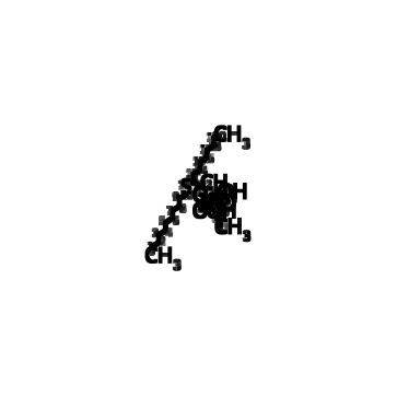 CCCCCCCCCCCSC(CCCCCCCC)C(C)OC(CP(=O)(O)OCCC)C(=O)O